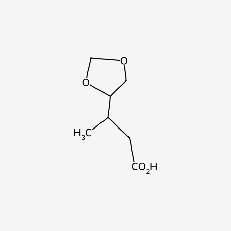 CC(CC(=O)O)C1COCO1